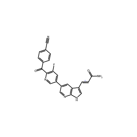 N#Cc1ccc(C(=O)c2ncc(-c3cnc4[nH]cc(/C=C/C(N)=O)c4c3)cc2F)cc1